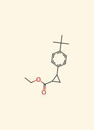 CCOC(=O)C1CC1c1ccc(C(C)(C)C)cc1